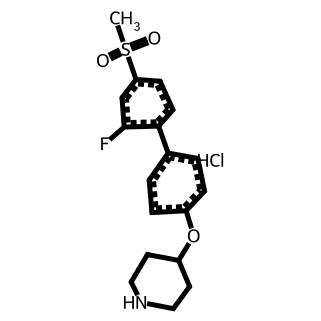 CS(=O)(=O)c1ccc(-c2ccc(OC3CCNCC3)cc2)c(F)c1.Cl